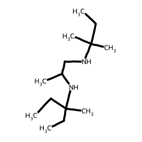 CCC(C)(C)NCC(C)NC(C)(CC)CC